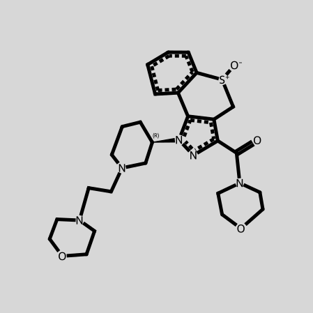 O=C(c1nn([C@@H]2CCCN(CCN3CCOCC3)C2)c2c1C[S+]([O-])c1ccccc1-2)N1CCOCC1